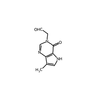 Cc1c[nH]c2c(=O)n(CC=O)cnc12